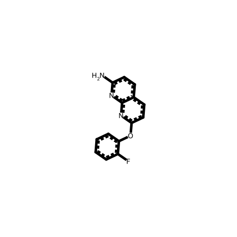 Nc1ccc2ccc(Oc3ccccc3F)nc2n1